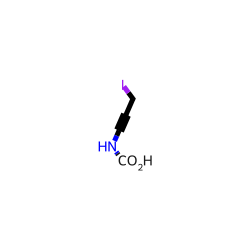 O=C(O)NC#CCI